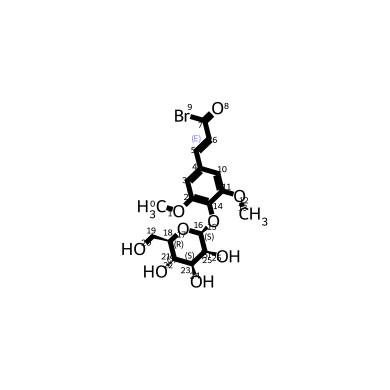 COc1cc(/C=C/C(=O)Br)cc(OC)c1O[C@@H]1O[C@H](CO)[C@@H](O)[C@H](O)[C@@H]1O